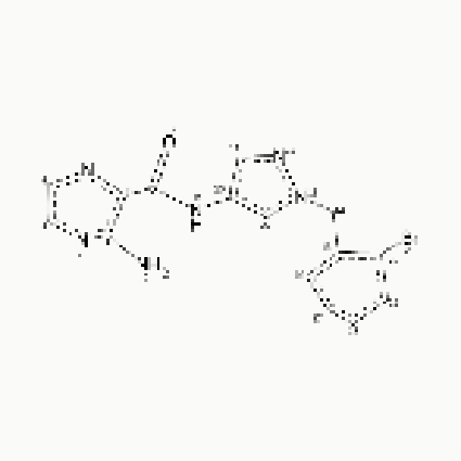 Nc1nccnc1C(=O)Nc1cnn(Cc2ccccc2Br)c1